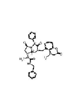 CN1CC(=O)Oc2cccc(CN3C[C@H]4N(C(=O)CN4N(C)C(=O)NCc4ccccc4)[C@@H](c4ccccc4)C3=O)c21